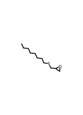 CCCCCCCCSCC1CO1